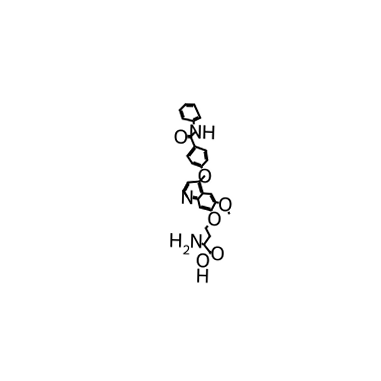 COc1cc2c(Oc3ccc(C(=O)Nc4ccccc4)cc3)ccnc2cc1OCCC(N)C(=O)O